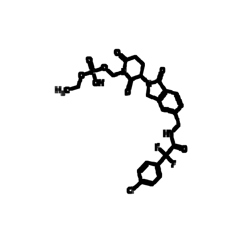 CCOP(=O)(O)OCN1C(=O)CCC(N2Cc3cc(CNC(=O)C(F)(F)c4ccc(Cl)cc4)ccc3C2=O)C1=O